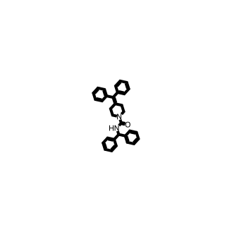 O=C(NC(c1ccccc1)c1ccccc1)N1CCC(=C(c2ccccc2)c2ccccc2)CC1